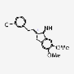 COc1cc2c(cc1OC)C(=N)/C(=C/Cc1cccc(Cl)c1)C2